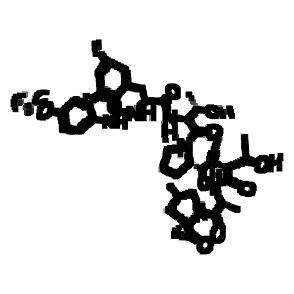 C[C@H]1CN(C(=O)[C@H](C)NC(=O)[C@H]([C@@H](C)O)N(C)C(=O)[C@@H]2CCCN2C(=O)[C@@H](NC(=O)[C@H](Cc2cc(F)cc(F)c2)NC(=O)Nc2ccc(OC(F)(F)F)cc2)[C@H](C)O)[C@]2(CC2=O)C1